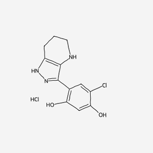 Cl.Oc1cc(O)c(-c2n[nH]c3c2NCCC3)cc1Cl